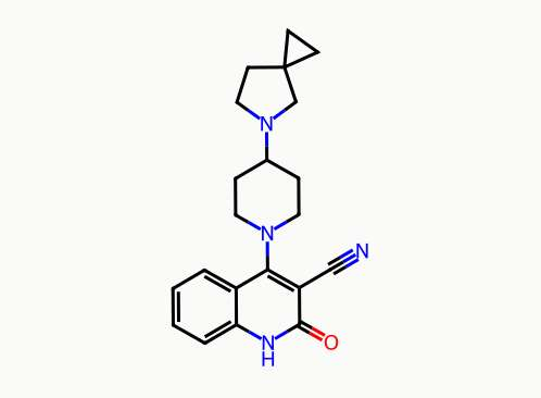 N#Cc1c(N2CCC(N3CCC4(CC4)C3)CC2)c2ccccc2[nH]c1=O